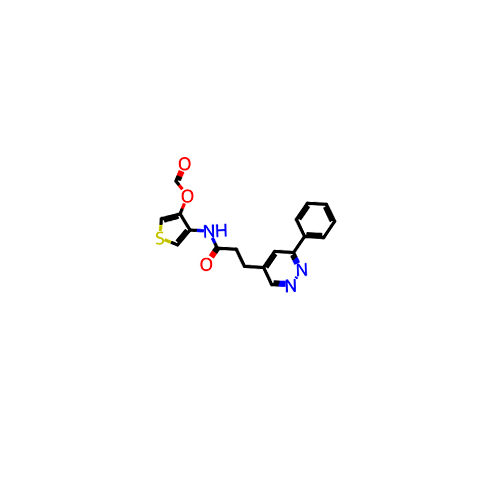 O=COc1cscc1NC(=O)CCc1cnnc(-c2ccccc2)c1